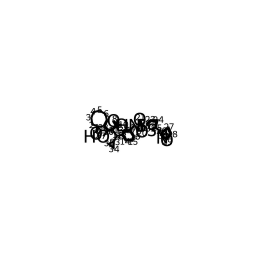 O=C1CCCCCc2oc(=O)c(C(c3cccc(NS(=O)(=O)c4ccc(-c5ccon5)s4)c3)C3CC3)c(O)c21